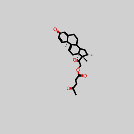 CC(=O)CCC(=O)OCC(=O)[C@@]1(C)[C@@H](C)CC2C3CCC4=CC(=O)C=C[C@]4(C)C3=CC[C@@]21C